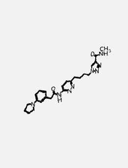 CNC(=O)c1cn(CCCCc2ccc(NC(=O)Cc3cccc(N4CCCC4)c3)nn2)nn1